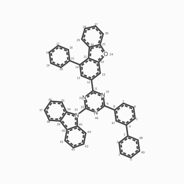 c1ccc(-c2cccc(-c3nc(-c4cc(-c5ccccc5)c5c(c4)oc4ccccc45)nc(-n4c5ccccc5c5ccccc54)n3)c2)cc1